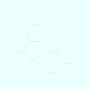 Cc1ccc(C(=O)N(C)C2CCN(C)CC2C)cc1